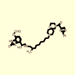 CC(CCCCCCCN1CCC2(CC1)CN(C(=O)c1csc(C(C)C)n1)CCO2)CNC[C@H](O)c1ccc(OC=O)c2[nH]c(=O)sc12